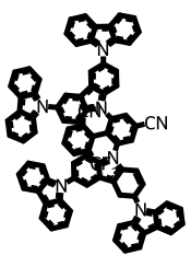 N#Cc1cc(-n2c3c(c4cc(-n5c6ccccc6c6ccccc65)ccc42)CC(n2c4ccccc4c4ccccc42)C=C3)c(-c2c(C#N)cccc2C(F)(F)F)c(-n2c3ccc(-n4c5ccccc5c5ccccc54)cc3c3cc(-n4c5ccccc5c5ccccc54)ccc32)c1